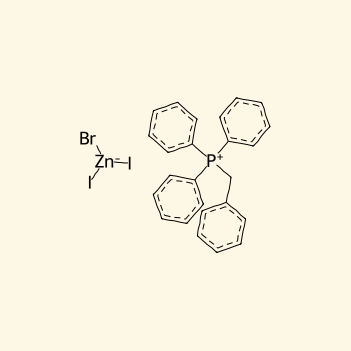 [Br][Zn-]([I])[I].c1ccc(C[P+](c2ccccc2)(c2ccccc2)c2ccccc2)cc1